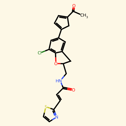 CC(=O)C1=CC=C(c2cc(Cl)c3c(c2)CC(CNC(=O)/C=C/c2nccs2)O3)C1